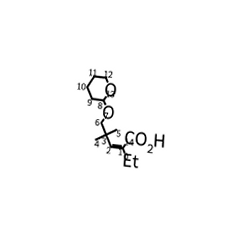 CCC(=CC(C)(C)COC1CCCCO1)C(=O)O